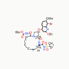 CCOc1cc(O[C@@H]2C[C@H]3C(=O)N[C@]4(C(=O)NS(=O)(=O)C5(C)CC5)C[C@H]4/C=C\CCCCC[C@H](NC(=O)OC(C)(C)C)C(=O)N3C2)c2ccc(OC)c(Br)c2n1